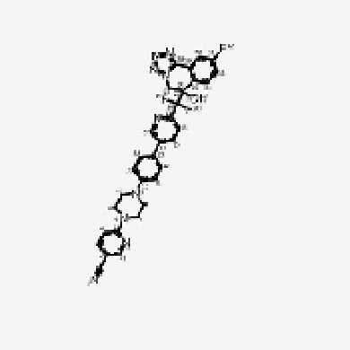 N#Cc1ccc(N2CCN(c3ccc(-c4ccc(C(F)(F)[C@]5(O)Cn6nnnc6-c6cc(F)ccc65)nc4)cc3)CC2)nc1